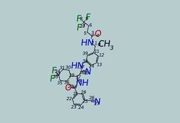 C[C@@H](NC(=O)CCC(F)(F)F)c1ccc2nc([C@@H](NC(=O)c3cccc(C#N)c3)C3CCC(F)(F)CC3)[nH]c2c1